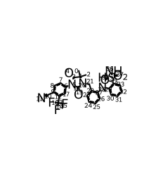 CC1(C)C(=O)N(c2ccc(C#N)c(C(F)(F)F)c2)C(=O)N1Cc1ccccc1Nc1ccccc1S(N)(=O)=O